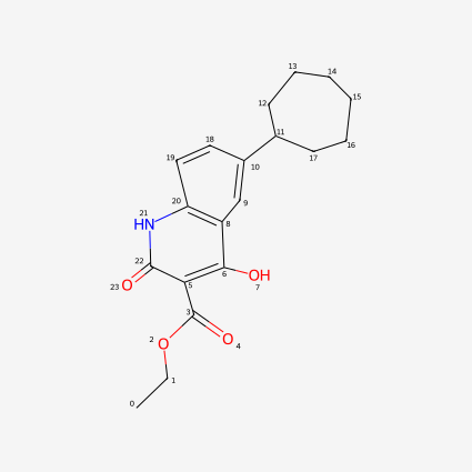 CCOC(=O)c1c(O)c2cc(C3CCCCCC3)ccc2[nH]c1=O